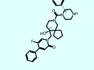 O=C(N1CC[C@@](O)(Cn2cc(F)c(-c3ccccc3)cc2=O)C2(CCCC2)C1)N1CCNC[C@H]1c1ccccc1